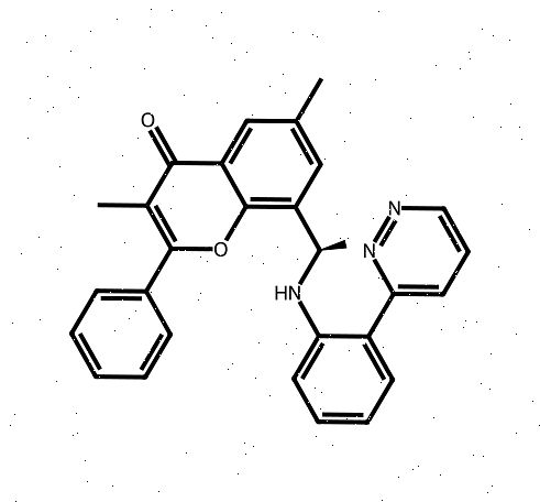 Cc1cc([C@@H](C)Nc2ccccc2-c2cccnn2)c2oc(-c3ccccc3)c(C)c(=O)c2c1